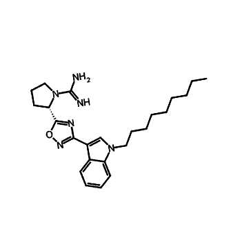 CCCCCCCCCn1cc(-c2noc([C@@H]3CCCN3C(=N)N)n2)c2ccccc21